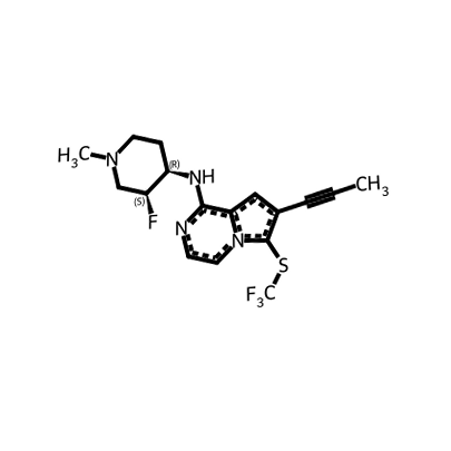 CC#Cc1cc2c(N[C@@H]3CCN(C)C[C@@H]3F)nccn2c1SC(F)(F)F